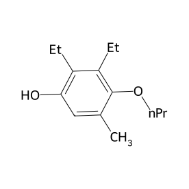 CCCOc1c(C)cc(O)c(CC)c1CC